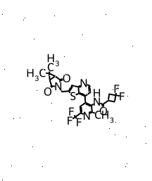 Cc1nc(C(F)(F)F)cc(-c2ccnc3cc(CN4C(=O)C5C(C4=O)C5(C)C)sc23)c1NC(=O)C1CC(F)(F)C1